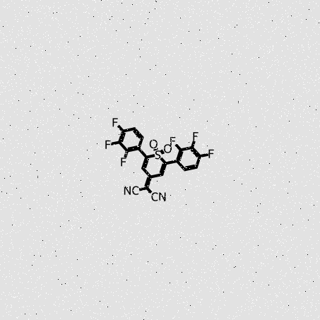 N#CC(C#N)=C1C=C(c2ccc(F)c(F)c2F)S(=O)(=O)C(c2ccc(F)c(F)c2F)=C1